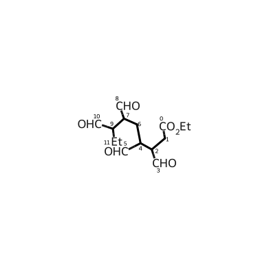 CCOC(=O)CC(C=O)C(C=O)CC(C=O)C(C=O)CC